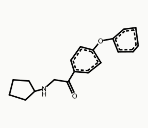 O=C(CNC1CCCC1)c1ccc(Oc2ccccc2)cc1